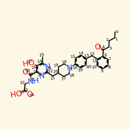 CCCCC(=O)c1ccccc1Cc1ccc(N2CCC(Cc3nc(C)c(O)c(C(=O)NCC(=O)O)n3)CC2)cc1